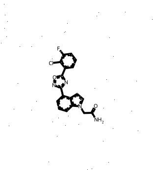 NC(=O)Cn1ccc2c(-c3noc(-c4cccc(F)c4Cl)n3)cccc21